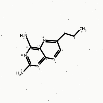 CCCc1cnc2nc(N)nc(N)c2n1